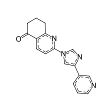 O=C1CCCc2nc(-n3cnc(-c4cccnc4)c3)ccc21